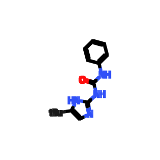 CC(C)(C)c1cnc(NC(=O)Nc2ccccc2)[nH]1